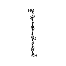 O=C(CSCCSCCOOCSCCSCOC(=O)CSCCSCCOOCCSCO)OCCSCO